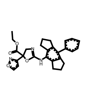 CCOC(=O)C1(c2ccon2)CN=C(Nc2c3c(c(-c4ccccc4)c4c2CCC4)CCC3)O1